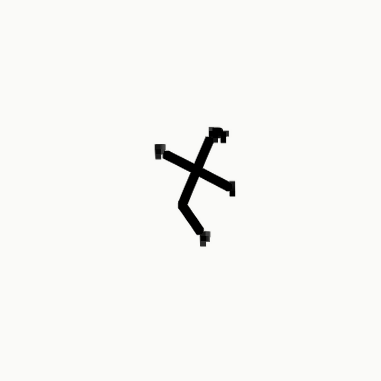 CC(C)C(F)(I)CF